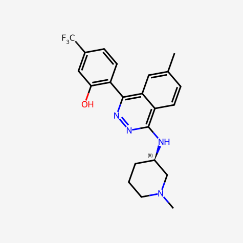 Cc1ccc2c(N[C@@H]3CCCN(C)C3)nnc(-c3ccc(C(F)(F)F)cc3O)c2c1